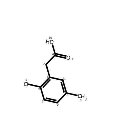 Cc1ccc(Cl)c(CC(=O)O)c1